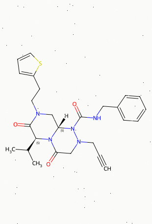 C#CCN1CC(=O)N2[C@@H](C(C)C)C(=O)N(CCc3cccs3)C[C@@H]2N1C(=O)NCc1ccccc1